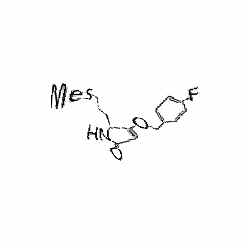 CSCCC[C@@H]1NC(=O)C=C1OCc1ccc(F)cc1